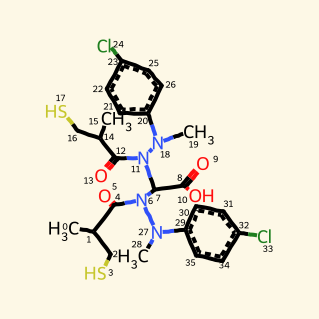 CC(CS)C(=O)N(C(C(=O)O)N(C(=O)C(C)CS)N(C)c1ccc(Cl)cc1)N(C)c1ccc(Cl)cc1